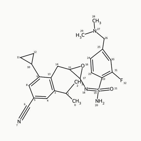 CC(C)c1cc(C#N)cc(C2CC2)c1CC1OC1N=S(N)(=O)c1ccc(CN(C)C)cc1F